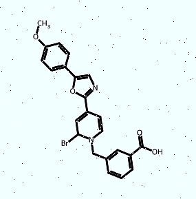 COc1ccc(-c2cnc(C3=CC(Br)N(Cc4cccc(C(=O)O)c4)C=C3)o2)cc1